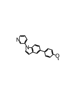 COc1ccc(-c2ccc3c(ccn3-c3cccnc3)c2)cc1